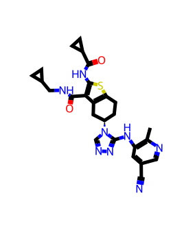 Cc1ncc(C#N)cc1Nc1nncn1[C@H]1CCc2sc(NC(=O)C3CC3)c(C(=O)NCC3CC3)c2C1